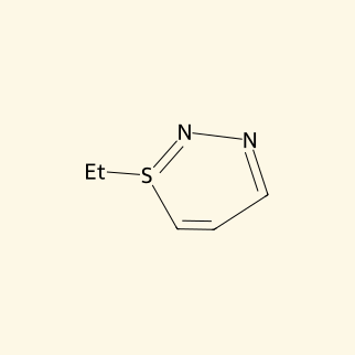 CCS1=NN=CC=C1